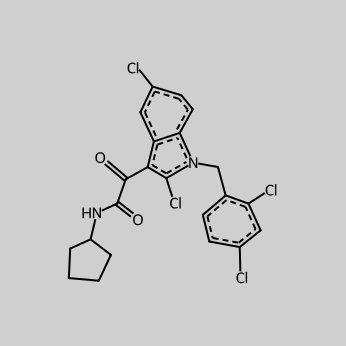 O=C(NC1CCCC1)C(=O)c1c(Cl)n(Cc2ccc(Cl)cc2Cl)c2ccc(Cl)cc12